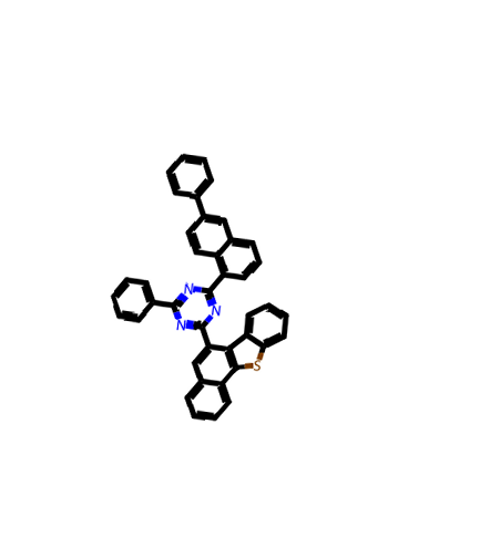 c1ccc(-c2ccc3c(-c4nc(-c5ccccc5)nc(-c5cc6ccccc6c6sc7ccccc7c56)n4)cccc3c2)cc1